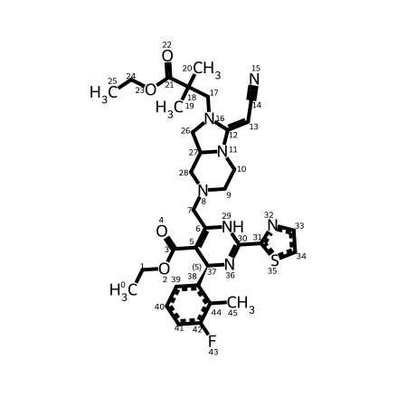 CCOC(=O)C1=C(CN2CCN3C(=CC#N)N(CC(C)(C)C(=O)OCC)CC3C2)NC(c2nccs2)=N[C@H]1c1cccc(F)c1C